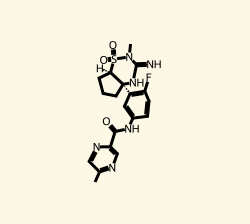 Cc1cnc(C(=O)Nc2ccc(F)c([C@]34CCC[C@H]3S(=O)(=O)N(C)C(=N)N4)c2)cn1